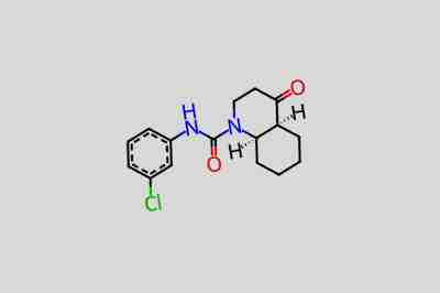 O=C1CCN(C(=O)Nc2cccc(Cl)c2)[C@@H]2CCCC[C@H]12